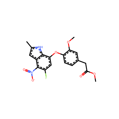 COC(=O)Cc1ccc(Oc2cc(F)c([N+](=O)[O-])c3cc(C)[nH]c23)c(OC)c1